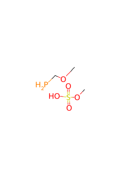 COCP.COS(=O)(=O)O